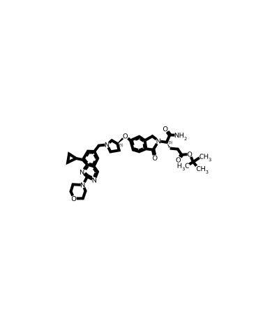 CC(C)(C)OC(=O)CC[C@@H](C(N)=O)N1Cc2cc(O[C@H]3CCN(Cc4cc(C5CC5)c5nc(N6CCOCC6)ncc5c4)C3)ccc2C1=O